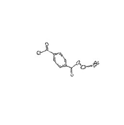 CC(C)(C)OOC(=O)c1ccc(C(=O)Cl)cc1